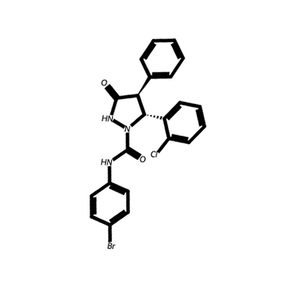 O=C1NN(C(=O)Nc2ccc(Br)cc2)[C@@H](c2ccccc2Cl)[C@@H]1c1ccccc1